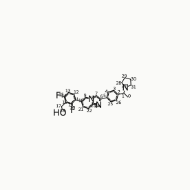 CC(c1ccc(-c2cn3cc(-c4ccc(F)c(CO)c4F)ccc3n2)cc1)N1CCCC1